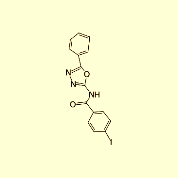 O=C(Nc1nnc(-c2ccccc2)o1)c1ccc(I)cc1